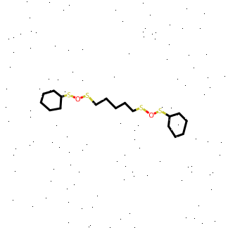 C(CCSOSC1CCCCC1)CCSOSC1CCCCC1